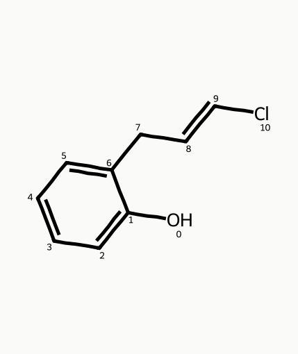 Oc1ccccc1CC=CCl